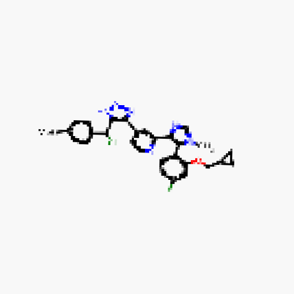 COc1ccc(C(Cl)c2[nH]nnc2-c2ccnc(-c3ncn(C)c3-c3ccc(F)cc3OCC3CC3)c2)cc1